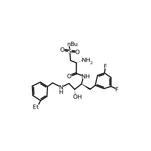 CCCCS(=O)(=O)C[C@H](N)C(=O)N[C@@H](Cc1cc(F)cc(F)c1)[C@H](O)CNCc1cccc(CC)c1